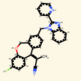 C/C(C#N)=C1\c2ccc(Cn3c(-c4ccccn4)nc4ccccc43)cc2COc2cc(F)ccc21